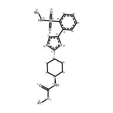 CC(C)OC(=O)N[C@H]1CC[C@H](c2ncc(-c3ccccc3S(=O)(=O)NC(C)(C)C)s2)CC1